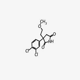 COCCC1(c2ccc(Cl)c(Cl)c2)CC(=O)NC1=O